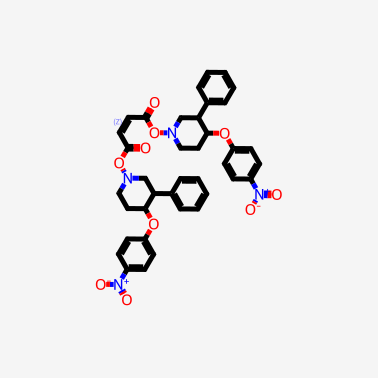 O=C(/C=C\C(=O)ON1CCC(Oc2ccc([N+](=O)[O-])cc2)C(c2ccccc2)C1)ON1CCC(Oc2ccc([N+](=O)[O-])cc2)C(c2ccccc2)C1